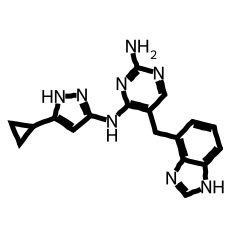 Nc1ncc(Cc2cccc3[nH]cnc23)c(Nc2cc(C3CC3)[nH]n2)n1